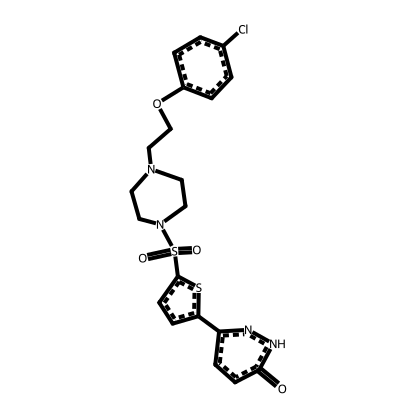 O=c1ccc(-c2ccc(S(=O)(=O)N3CCN(CCOc4ccc(Cl)cc4)CC3)s2)n[nH]1